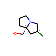 OC[C@]12CCCN1C[C@@H](F)C2